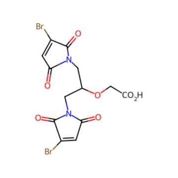 O=C(O)COC(CN1C(=O)C=C(Br)C1=O)CN1C(=O)C=C(Br)C1=O